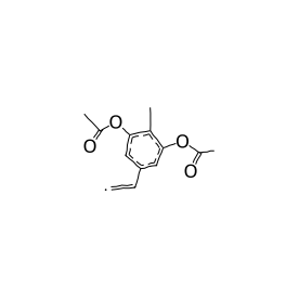 [CH]=Cc1cc(OC(C)=O)c(C)c(OC(C)=O)c1